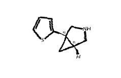 c1csc([C@@]23CNC[C@@H]2C3)c1